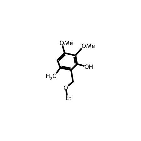 CCOCc1c(C)cc(OC)c(OC)c1O